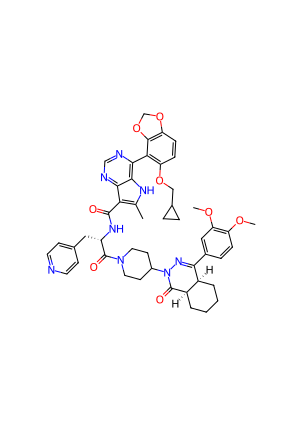 COc1ccc(C2=NN(C3CCN(C(=O)[C@H](Cc4ccncc4)NC(=O)c4c(C)[nH]c5c(-c6c(OCC7CC7)ccc7c6OCO7)ncnc45)CC3)C(=O)[C@@H]3CCCC[C@H]23)cc1OC